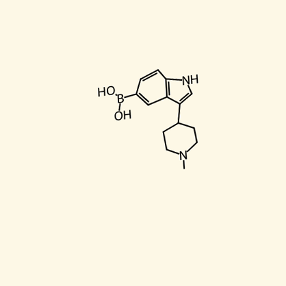 CN1CCC(c2c[nH]c3ccc(B(O)O)cc23)CC1